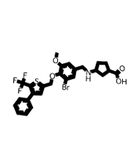 COc1cc(CNC2CCC(C(=O)O)C2)cc(Br)c1OCc1cc(-c2ccccc2)c(C(F)(F)F)s1